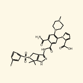 CN1CCN(c2cc(C(N)=O)c(C(=O)Nc3n[nH]c4c3CN(S(=O)(=O)c3cccc(F)c3)C4(C)C)cc2-n2cccc2C(=O)O)CC1